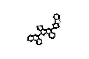 c1ccc2c(c1)cc(-c1cc3c4ccccc4c(-c4ccc5sc6ccccc6c5c4)cc3c3ccccc13)c1ccccc12